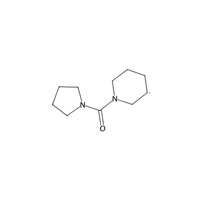 O=C(N1C[CH]CCC1)N1CCCC1